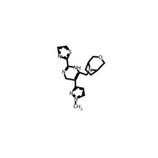 Cn1ccc(C2=C(CN3C4CCC3COC4)NC(c3nccs3)=NC2)n1